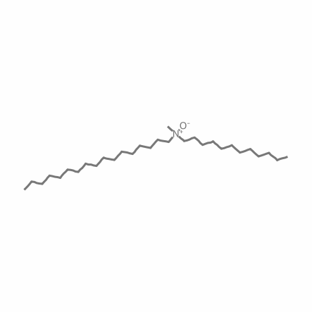 CCCCCCCCCCCCCCCCC[N+](C)([O-])CCCCCCCCCCCC